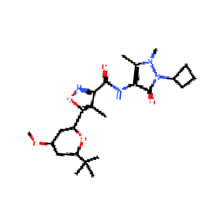 COC1CC(c2onc(C(=O)Nc3c(C)n(C)n(C4CCC4)c3=O)c2C)OC(C(C)(C)C)C1